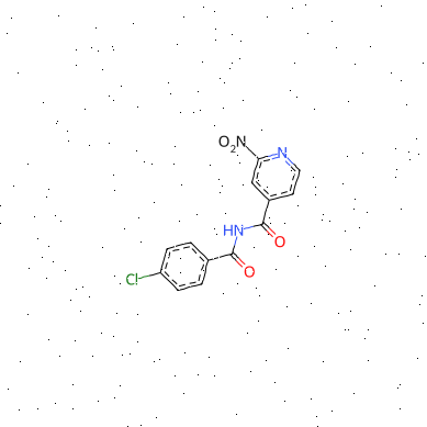 O=C(NC(=O)c1ccnc([N+](=O)[O-])c1)c1ccc(Cl)cc1